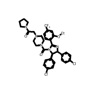 CCOc1cc(C(F)(F)F)ccc1C1=NC(c2ccc(Cl)cc2)C(c2ccc(Cl)cc2)N1C(=O)N1CCN(CC(=O)N2CCCC2)CC1